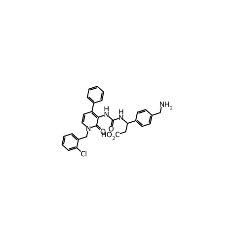 NCc1ccc(C(CC(=O)O)NC(=O)Nc2c(-c3ccccc3)ccn(Cc3ccccc3Cl)c2=O)cc1